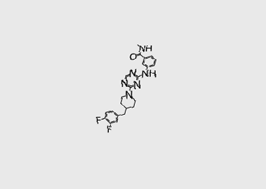 CNC(=O)c1cccc(Nc2ncnc(N3CCC(Cc4ccc(F)c(F)c4)CC3)n2)c1